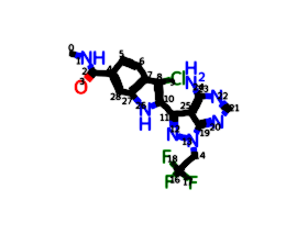 CNC(=O)c1ccc2c(Cl)c(-c3nn(CC(F)(F)F)c4ncnc(N)c34)[nH]c2c1